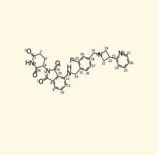 O=C1CCC(N2C(=O)c3cccc(NCc4ccc(CN5CC(c6ccccn6)C5)cc4F)c3C2=O)C(=O)N1